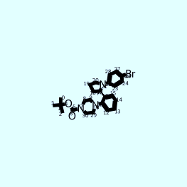 CC(C)(C)OC(=O)N1CCN(c2ccccc2[C@H]2CCCN2c2ccc(Br)cc2)CC1